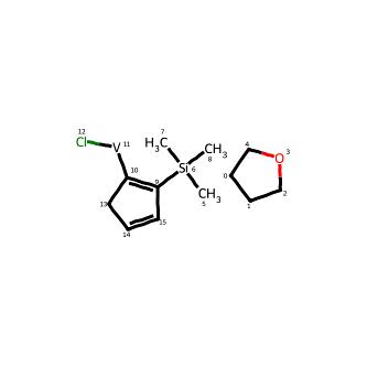 C1CCOC1.C[Si](C)(C)C1=[C]([V][Cl])CC=C1